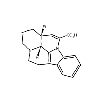 CC[C@]12C=C(C(=O)O)n3c4c(c5ccccc53)CCN(CCC1)[C@@H]42